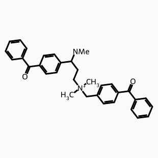 CNC(CC[N+](C)(C)Cc1ccc(C(=O)c2ccccc2)cc1)c1ccc(C(=O)c2ccccc2)cc1